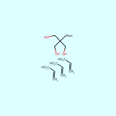 C=CC(=O)O.C=CC(=O)O.C=CC(=O)O.CCCC(C)C(CO)(CO)CO